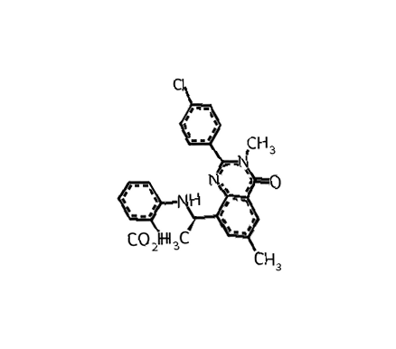 Cc1cc([C@@H](C)Nc2ccccc2C(=O)O)c2nc(-c3ccc(Cl)cc3)n(C)c(=O)c2c1